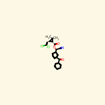 CC1(C)[C@H](C=C(Cl)Cl)[C@H]1C(=O)OC(C#N)c1cccc(C(=O)c2ccccc2)c1